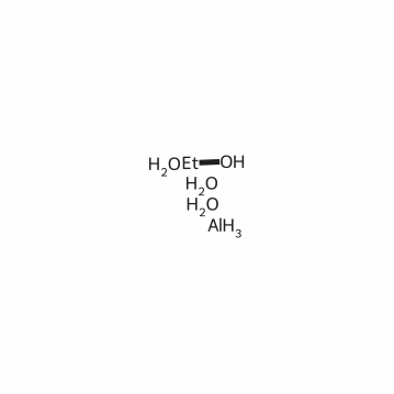 CCO.O.O.O.[AlH3]